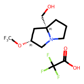 O=C(O)C(F)(F)F.OC[C@]12CCCN1C[C@H](OC(F)(F)F)C2